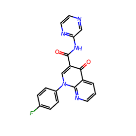 O=C(Nc1cnccn1)c1cn(-c2ccc(F)cc2)c2ncccc2c1=O